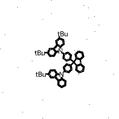 CC(C)(C)c1ccc2c(c1)c1ccccc1n2-c1ccc(C2(c3ccc(-n4c5ccc(C(C)(C)C)cc5c5cc(C(C)(C)C)ccc54)cc3)c3ccccc3-c3ccccc32)cc1